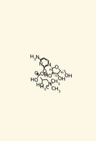 C[N+](C)(C)CC(O)P(=O)(O)O.Nc1ccn([C@@H]2O[C@H](CO)[C@@H](O)[C@H]2O)c(=O)n1